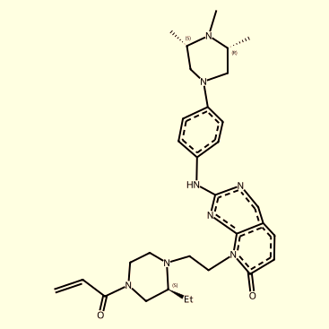 C=CC(=O)N1CCN(CCn2c(=O)ccc3cnc(Nc4ccc(N5C[C@@H](C)N(C)[C@@H](C)C5)cc4)nc32)[C@@H](CC)C1